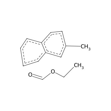 CCOC=O.Cc1ccc2ccccc2c1